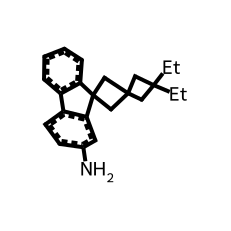 CCC1(CC)CC2(C1)CC1(C2)c2ccccc2-c2ccc(N)cc21